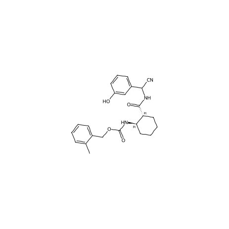 Cc1ccccc1COC(=O)N[C@@H]1CCCC[C@H]1C(=O)NC(C#N)c1cccc(O)c1